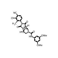 COc1cc(NC(=O)N2C[C@H]3CC2[C@H]2C(=O)N(c4ccc(C#N)c(Cl)c4C)C(=O)N32)cc(OC)c1